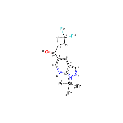 CC(C)[Si](C(C)C)(C(C)C)n1ncc2cc(C(=O)C3CC(F)(F)C3)cnc21